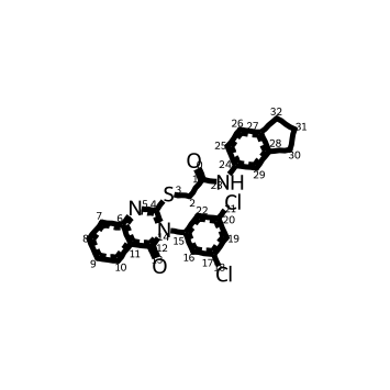 O=C(CSc1nc2ccccc2c(=O)n1-c1cc(Cl)cc(Cl)c1)Nc1ccc2c(c1)CCC2